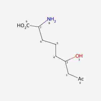 CC(=O)CC(O)CCCC(N)C(=O)O